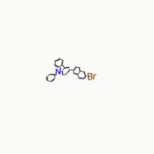 Brc1ccc2cc(-c3ccc4c(c3)c3ccccc3n4-c3ccccc3)ccc2c1